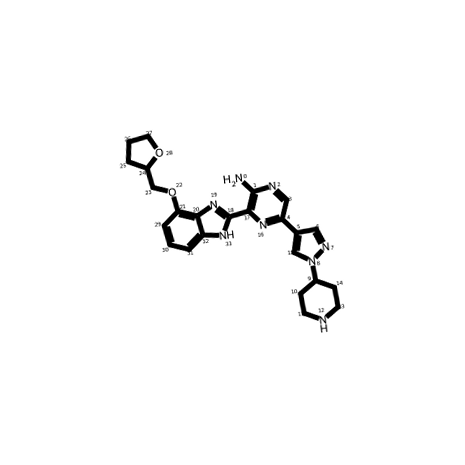 Nc1ncc(-c2cnn(C3CCNCC3)c2)nc1-c1nc2c(OCC3CCCO3)cccc2[nH]1